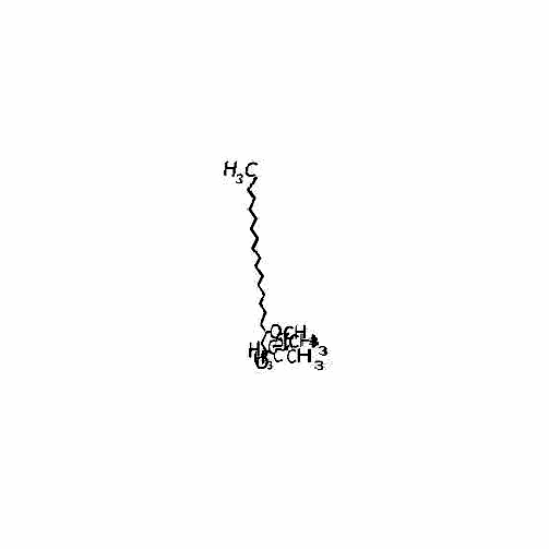 CCCCCCCCCCCCCCCCC[C@H](CC=O)O[Si](C)(C)C(C)(C)C